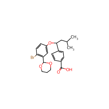 CC(C)CC(Oc1ccc(Br)c(C2OCCCO2)c1)c1ccc(C(=O)O)cc1